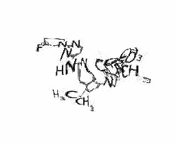 CC(C)c1ccc(N2C[C@H](N(C)S(C)(=O)=O)[C@H]2C)c2cnc(Nc3ccnc(N4CCC[C@H](F)C4)n3)cc12